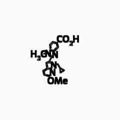 COc1ccc2cc(-c3nc4cc(C(=O)O)ccc4n3C)n(CC3CC3)c2n1